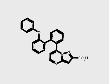 O=C(O)c1cc2nccc(-c3ccccc3-c3ccccc3Oc3ccccc3)n2n1